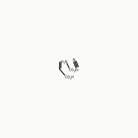 C#N.C=CC(=O)O.CCOC(N)=O